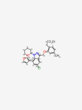 CCOC(=O)Cc1ccc(C)cc1OCc1nn(C2CCCCO2)c2c(-c3ccoc3)cc(Cl)cc12